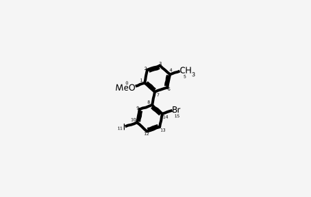 COc1[c]cc(C)cc1-c1cc(I)ccc1Br